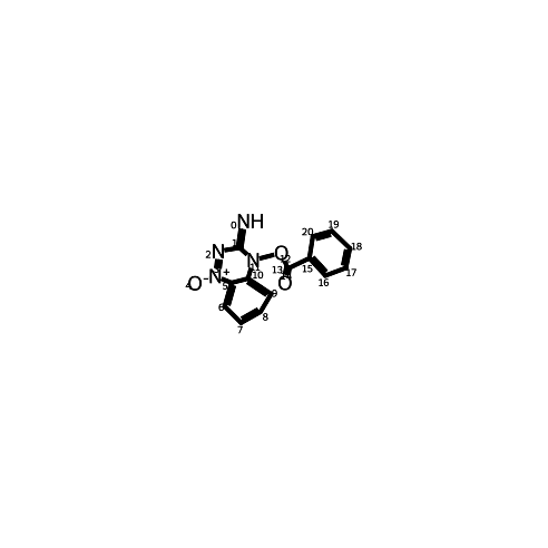 N=c1n[n+]([O-])c2ccccc2n1OC(=O)c1ccccc1